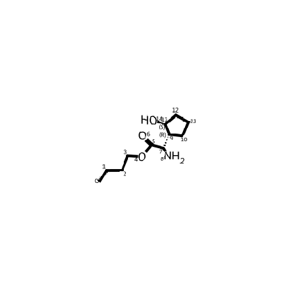 CCCCOC(=O)C(N)[C@H]1CCC[C@@H]1O